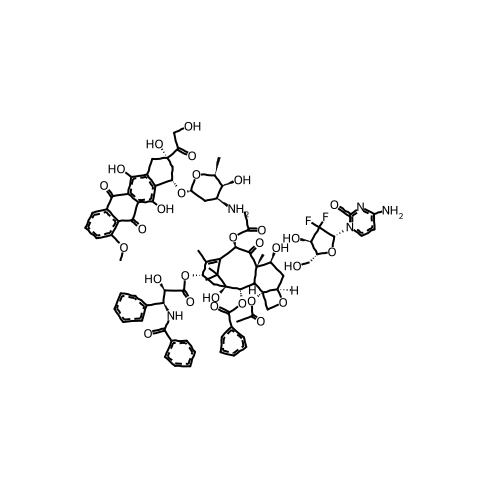 CC(=O)O[C@H]1C(=O)[C@@]2(C)[C@H]([C@H](OC(=O)c3ccccc3)[C@]3(O)C[C@H](OC(=O)[C@H](O)[C@@H](NC(=O)c4ccccc4)c4ccccc4)C(C)=C1C3(C)C)[C@]1(OC(C)=O)CO[C@@H]1C[C@@H]2O.COc1cccc2c1C(=O)c1c(O)c3c(c(O)c1C2=O)C[C@@](O)(C(=O)CO)C[C@@H]3O[C@H]1C[C@H](N)[C@H](O)[C@H](C)O1.Nc1ccn([C@@H]2O[C@H](CO)[C@@H](O)C2(F)F)c(=O)n1